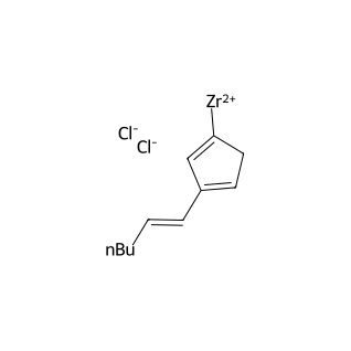 CCCCC=CC1=CC[C]([Zr+2])=C1.[Cl-].[Cl-]